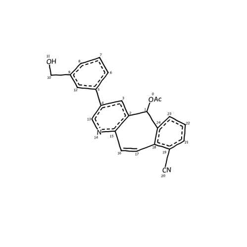 CC(=O)OC1c2cc(-c3cccc(CO)c3)cnc2C=Cc2c(C#N)cccc21